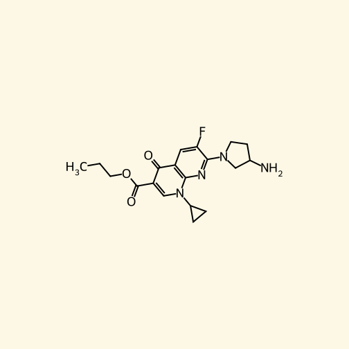 CCCOC(=O)c1cn(C2CC2)c2nc(N3CCC(N)C3)c(F)cc2c1=O